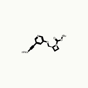 CCCCCCC#Cc1cncc(OC[C@@H]2CCN2C(=O)OC(C)(C)C)c1